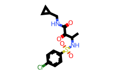 CC(NS(=O)(=O)c1ccc(Cl)cc1)C(=O)C(=O)NCC1CC1